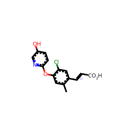 Cc1cc(Oc2ccc(O)cn2)c(Cl)cc1/C=C/C(=O)O